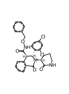 O=C(NOCc1ccccc1)[C@@H]1c2ccccc2C(=O)N([C@H]2CCCNC2=O)[C@H]1c1ccc(Cl)cc1Cl